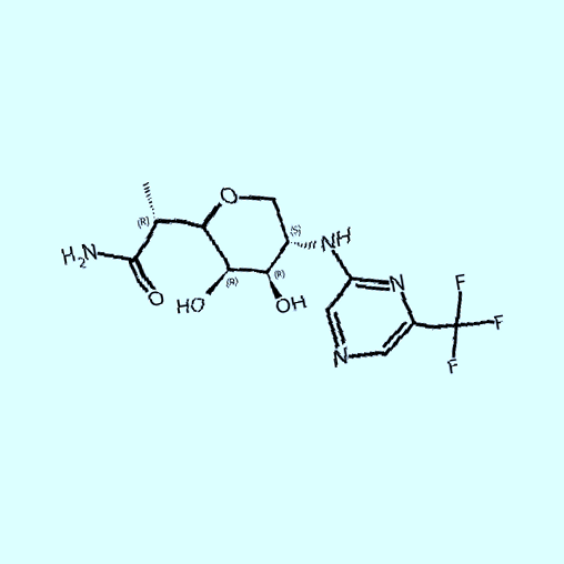 C[C@@H](C(N)=O)C1OC[C@H](Nc2cncc(C(F)(F)F)n2)[C@@H](O)[C@H]1O